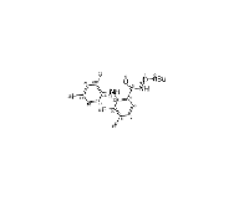 CCCCONC(=O)c1ccc(F)c(F)c1Nc1ccc(I)cc1C